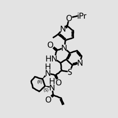 C=CC(=O)N[C@H]1CCCC[C@H]1NC(=O)C1Sc2nccc3c2C1NC(=O)N3c1ccc(OC(C)C)nc1C